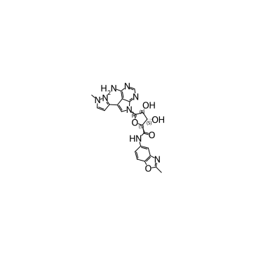 Cc1nc2cc(NC(=O)[C@H]3O[C@@H](n4cc(-c5ccn(C)n5)c5c(N)ncnc54)[C@H](O)[C@@H]3O)ccc2o1